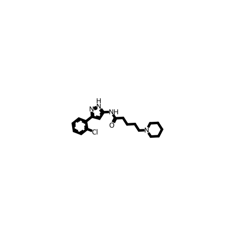 O=C(CCCCN1CCCCC1)Nc1cc(-c2ccccc2Cl)n[nH]1